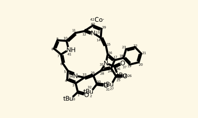 CC(C)(C)C(=O)C1=Cc2cc3ccc(cc4nc(cc5c(-c6ccccc6)c(C(=O)C(C)(C)C)c(c(C(=O)C(C)(C)C)c1n2)n5C(=O)C(C)(C)C)C=C4)[nH]3.[Co]